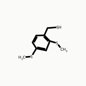 CSc1ccc(CS)c(SC)c1